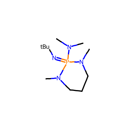 CN(C)P1(=NC(C)(C)C)N(C)CCCN1C